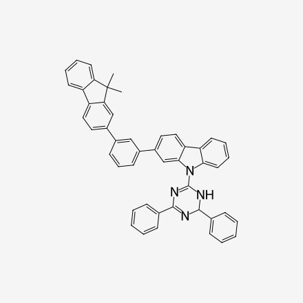 CC1(C)c2ccccc2-c2ccc(-c3cccc(-c4ccc5c6ccccc6n(C6=NC(c7ccccc7)=NC(c7ccccc7)N6)c5c4)c3)cc21